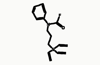 C=C[Si](C=C)(C=C)CCCN(C(=O)F)c1ccccc1